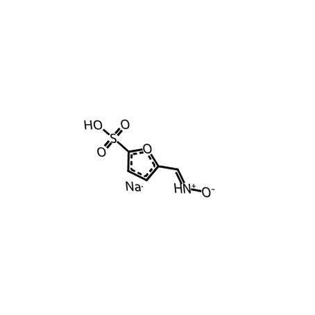 O=S(=O)(O)c1ccc(C=[NH+][O-])o1.[Na]